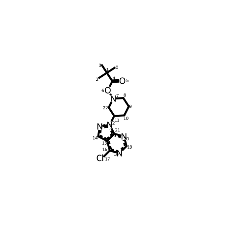 CC(C)(C)C(=O)ON1CCCC(n2ncc3c(Cl)ncnc32)C1